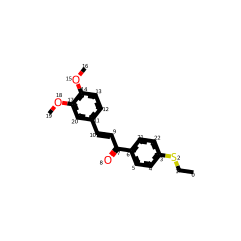 CCSc1ccc(C(=O)C=Cc2ccc(OC)c(OC)c2)cc1